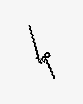 CCCCCCCCCCCCCCCCC(C)n1ccnc1CC1(CCCCCCCCCCC)C=CC=CC1